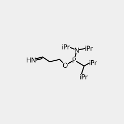 CC(C)C(C(C)C)P(OCCC=N)N(C(C)C)C(C)C